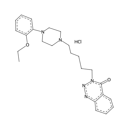 CCOc1ccccc1N1CCN(CCCCCn2nnc3ccccc3c2=O)CC1.Cl